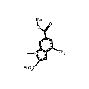 CCOC(=O)c1cc2c(C(F)(F)F)cc(C(=O)OC(C)(C)C)cc2n1C